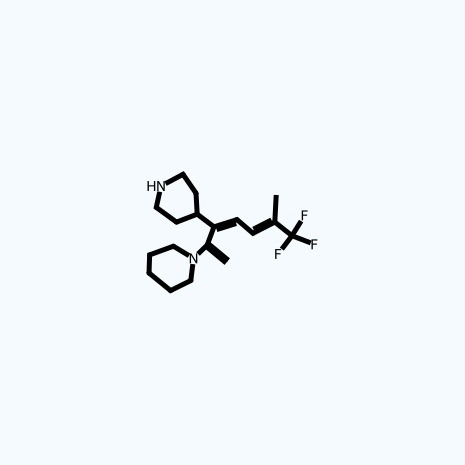 C=C(/C(=C\C=C(/C)C(F)(F)F)C1CCNCC1)N1CCCCC1